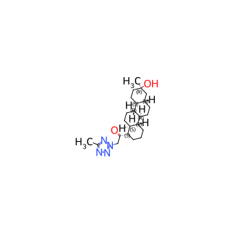 Cc1nnn(CC(=O)[C@H]2CCC[C@H]3[C@@H]4CC[C@H]5C[C@](C)(O)CC[C@@H]5[C@H]4CC[C@@H]32)n1